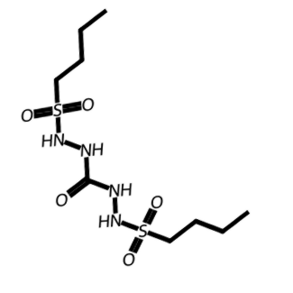 CCCCS(=O)(=O)NNC(=O)NNS(=O)(=O)CCCC